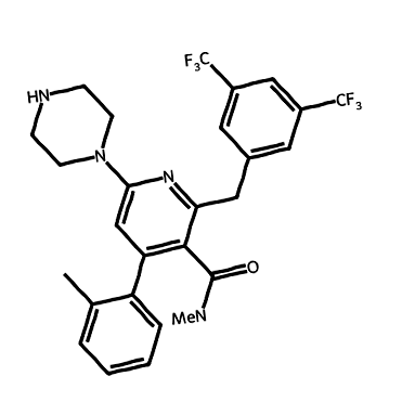 CNC(=O)c1c(-c2ccccc2C)cc(N2CCNCC2)nc1Cc1cc(C(F)(F)F)cc(C(F)(F)F)c1